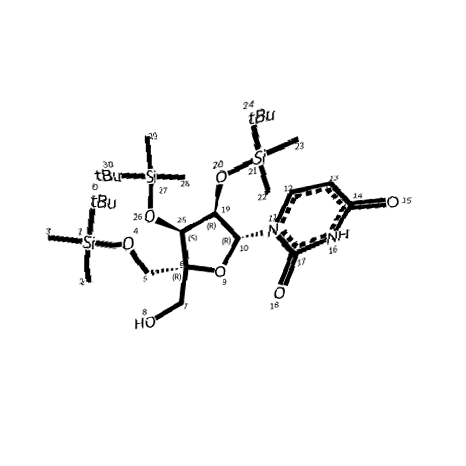 CC(C)(C)[Si](C)(C)OC[C@@]1(CO)O[C@@H](n2ccc(=O)[nH]c2=O)[C@H](O[Si](C)(C)C(C)(C)C)[C@@H]1O[Si](C)(C)C(C)(C)C